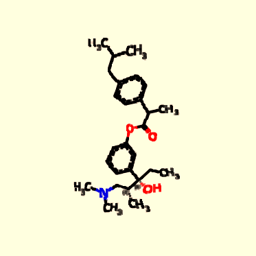 CC[C@](O)(c1cccc(OC(=O)C(C)c2ccc(CC(C)C)cc2)c1)[C@H](C)CN(C)C